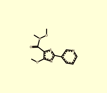 COc1nc(-c2cccnc2)sc1C(=O)N(C)OC